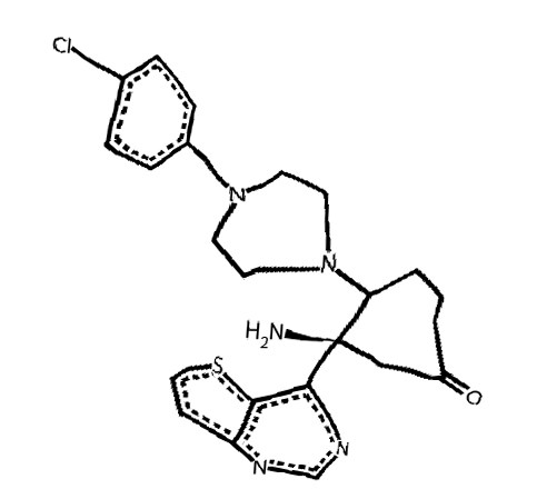 N[C@]1(c2ncnc3ccsc23)CC(=O)CCC1N1CCN(c2ccc(Cl)cc2)CC1